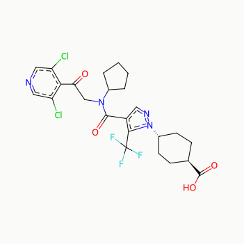 O=C(CN(C(=O)c1cnn([C@H]2CC[C@H](C(=O)O)CC2)c1C(F)(F)F)C1CCCC1)c1c(Cl)cncc1Cl